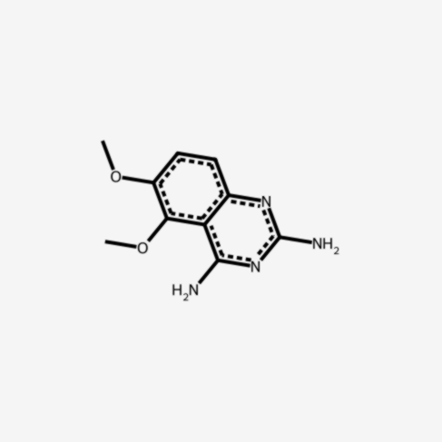 COc1ccc2nc(N)nc(N)c2c1OC